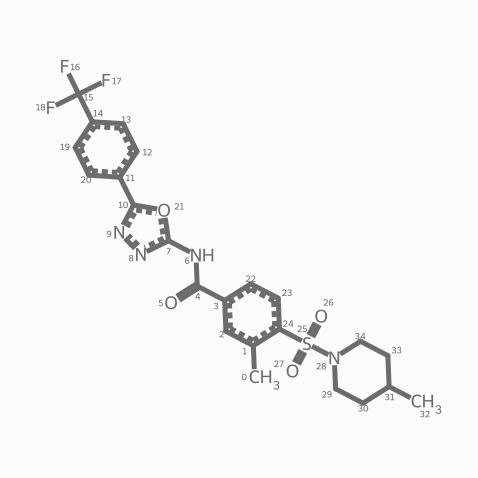 Cc1cc(C(=O)Nc2nnc(-c3ccc(C(F)(F)F)cc3)o2)ccc1S(=O)(=O)N1CCC(C)CC1